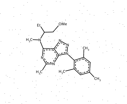 CCC(COC)N(C)c1nc(C)nc2c1nnn2-c1c(C)cc(C)cc1C